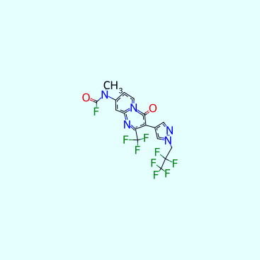 CN(C(=O)F)c1ccn2c(=O)c(-c3cnn(CC(F)(F)C(F)(F)F)c3)c(C(F)(F)F)nc2c1